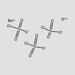 O=S(=O)([O-])[O-].O=S(=O)([O-])[O-].O=S(=O)([O-])[O-].[Ba+2].[Zr+4]